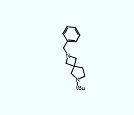 CC(C)(C)N1CCC2(CN(Cc3ccccc3)C2)C1